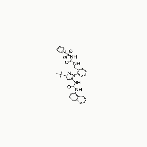 CC(C)(C)c1cc(NC(=O)Nc2cccc3ccccc23)n(-c2ccccc2CNC(=O)NS(=O)(=O)n2cccc2)n1